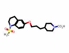 CS(=O)(=O)N1CCCc2cc(OCCCC3CCN(C(=O)O)CC3)ccc21